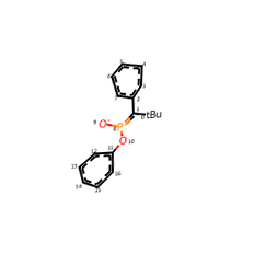 CC(C)(C)/C(c1ccccc1)=[P+](/[O-])Oc1ccccc1